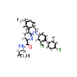 Cc1cc(Cl)ccc1-c1ccc(NCc2ccc(C(F)(F)F)cc2-c2ccc(C(=O)NCCC(=O)O)nc2)cc1Cl